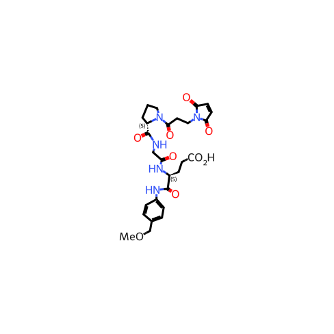 COCc1ccc(NC(=O)[C@H](CCC(=O)O)NC(=O)CNC(=O)[C@@H]2CCCN2C(=O)CCN2C(=O)C=CC2=O)cc1